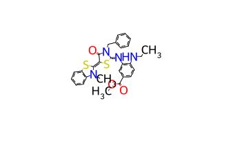 CCNc1ccc(C(=O)OC)cc1N=C1SC(=C2Sc3ccccc3N2C)C(=O)N1Cc1ccccc1